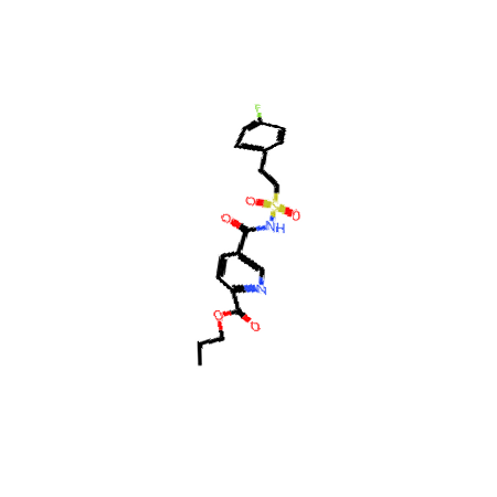 CCCOC(=O)c1ccc(C(=O)NS(=O)(=O)CCc2ccc(F)cc2)cn1